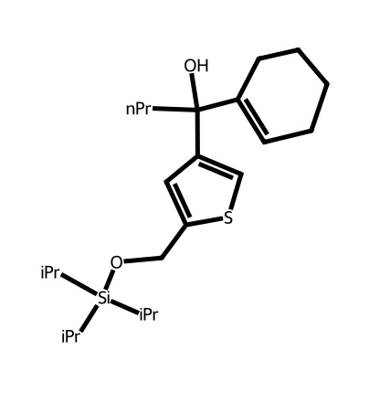 CCCC(O)(C1=CCCCC1)c1csc(CO[Si](C(C)C)(C(C)C)C(C)C)c1